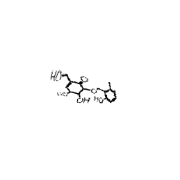 Cc1cccc(O)c1COC1C(=O)C(CO)=CC(O)C1O